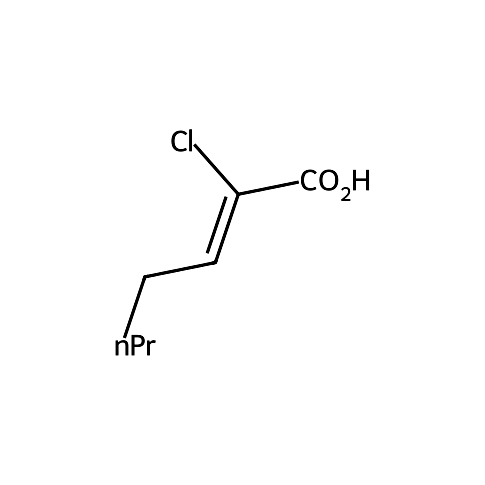 CCCCC=C(Cl)C(=O)O